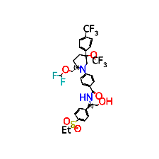 CCS(=O)(=O)c1ccc([C@H](CO)NC(=O)c2ccc(N3CC(OC(F)(F)F)(c4ccc(C(F)(F)F)cc4)CC[C@H]3COC(F)F)cc2)cc1